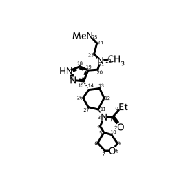 CCC(=O)N(CC1CCOCC1)[C@H]1CC[C@@H](c2n[nH]cc2CN(C)CCNC)CC1